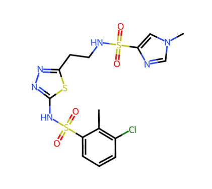 Cc1c(Cl)cccc1S(=O)(=O)Nc1nnc(CCNS(=O)(=O)c2cn(C)cn2)s1